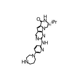 CC(C)[C@@H]1Cn2c(cc3cnc(Nc4ccc(N5CCCNCC5)cn4)nc32)C(=O)N1